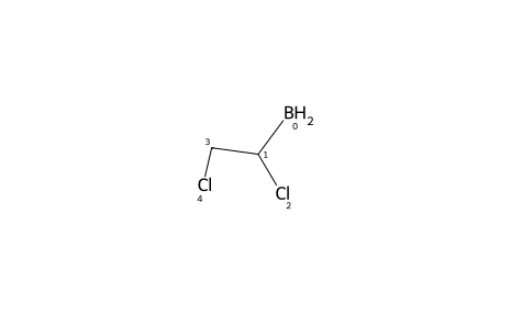 BC(Cl)CCl